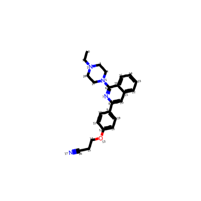 CCN1CCN(c2nc(-c3ccc(OCCC#N)cc3)cc3ccccc23)CC1